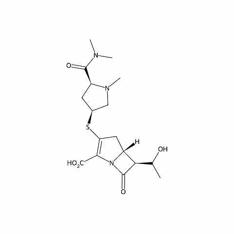 CC(O)[C@H]1C(=O)N2C(C(=O)O)=C(S[C@H]3C[C@@H](C(=O)N(C)C)N(C)C3)C[C@H]12